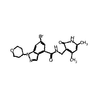 Cc1cc(C)c(CNC(=O)c2cc(Br)cc3c2cnn3C2CCOCC2)c(=O)[nH]1